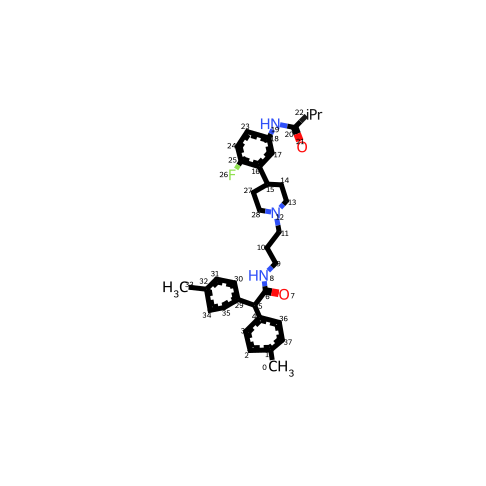 Cc1ccc(C(C(=O)NCCCN2CCC(c3cc(NC(=O)C(C)C)ccc3F)CC2)c2ccc(C)cc2)cc1